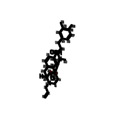 C=CCN1CC[C@]23CC(N(C)C(=O)CCc4ccc(C)c(C)c4)CC[C@@]2(O)[C@H]1Cc1ccc(O)cc13